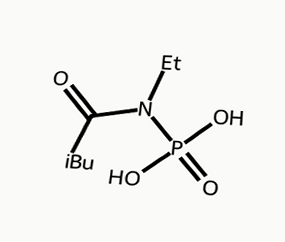 CCC(C)C(=O)N(CC)P(=O)(O)O